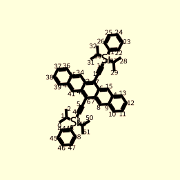 CC(C)[Si](C#Cc1c2cc3ccccc3cc2c(C#C[Si](c2ccccc2)(C(C)C)C(C)C)c2cc3ccccc3cc12)(c1ccccc1)C(C)C